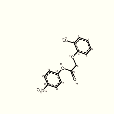 CCc1ccccc1OCC(=O)Oc1ccc([N+](=O)[O-])cc1